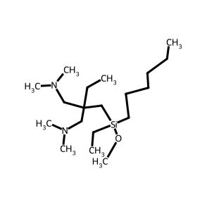 CCCCCC[Si](CC)(CC(CC)(CN(C)C)CN(C)C)OC